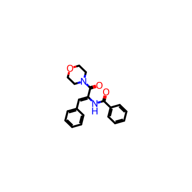 O=C(NC(=Cc1ccccc1)C(=O)N1CCOCC1)c1ccccc1